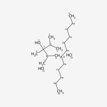 CC(C)C(C)(O)C(C)C.CCCCCCCCCCCC.Cl.Cl